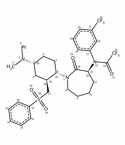 CC(C)N(C)[C@@H]1CC[C@H](N2CCCC[C@H](N(C(=O)C(F)(F)F)c3cccc(C(F)(F)F)c3)C2=O)[C@@H](CS(=O)(=O)c2ccccc2)C1